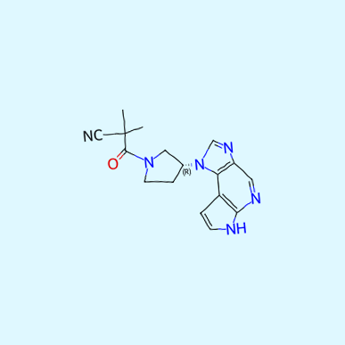 CC(C)(C#N)C(=O)N1CC[C@@H](n2cnc3cnc4[nH]ccc4c32)C1